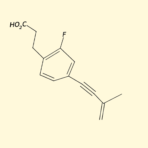 C=C(C)C#Cc1ccc(CCC(=O)O)c(F)c1